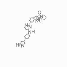 N#CC1CCCN1C(=O)c1cc2ccc(-c3nccc(Nc4ccc(-c5cn[nH]c5)cc4)n3)cc2[nH]1